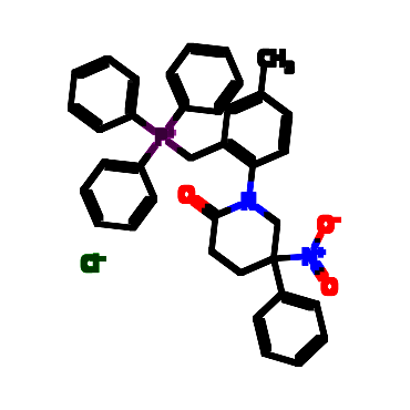 Cc1ccc(N2CC(c3ccccc3)([N+](=O)[O-])CCC2=O)c(C[P+](c2ccccc2)(c2ccccc2)c2ccccc2)c1.[Cl-]